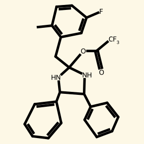 Cc1ccc(F)cc1CC1(OC(=O)C(F)(F)F)NC(c2ccccc2)C(c2ccccc2)N1